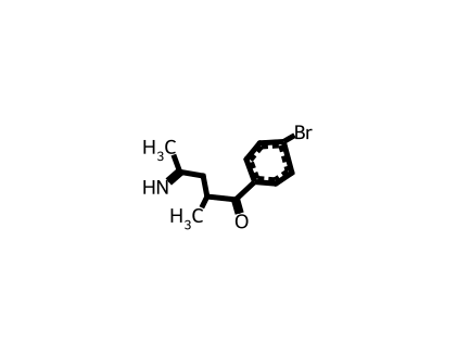 CC(=N)CC(C)C(=O)c1ccc(Br)cc1